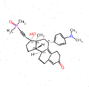 CN(C)c1ccc([C@H]2C[C@@]3(C)[C@@H](CC[C@@]3(O)C#CP(C)(C)=O)[C@@H]3CCC4=CC(=O)CCC4=C32)cc1